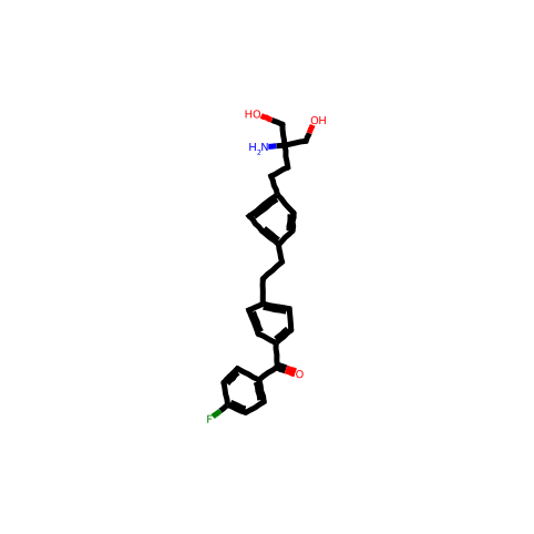 NC(CO)(CO)CCc1ccc(CCc2ccc(C(=O)c3ccc(F)cc3)cc2)cc1